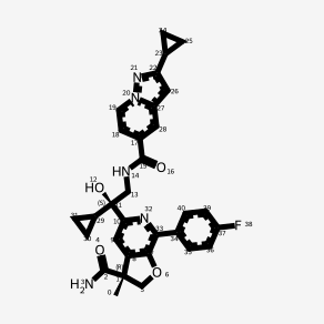 C[C@]1(C(N)=O)COc2c1cc([C@@](O)(CNC(=O)c1ccn3nc(C4CC4)cc3c1)C1CC1)nc2-c1ccc(F)cc1